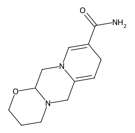 NC(=O)C1=CN2CC3OCCCN3CC2=CC1